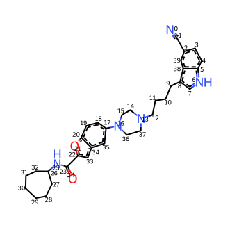 N#Cc1ccc2[nH]cc(CCCCN3CCN(c4ccc5oc(C(=O)NC6CCCCCC6)cc5c4)CC3)c2c1